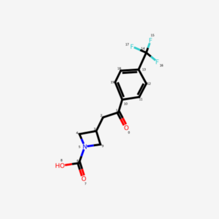 O=C(CC1CN(C(=O)O)C1)c1ccc(C(F)(F)F)cc1